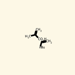 C=C(C)C(=O)O.C=CCCCC